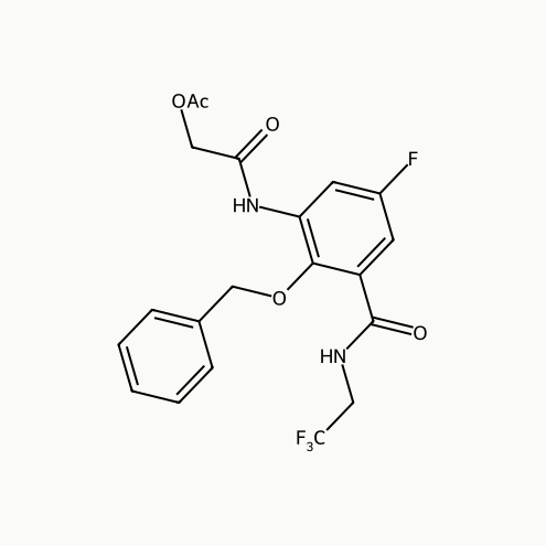 CC(=O)OCC(=O)Nc1cc(F)cc(C(=O)NCC(F)(F)F)c1OCc1ccccc1